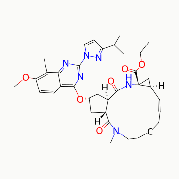 CCOC(=O)[C@@]12C[C@H]1/C=C\CCCCN(C)C(=O)[C@@H]1C[C@H](Oc3nc(-n4ccc(C(C)C)n4)nc4c(C)c(OC)ccc34)C[C@H]1C(=O)N2